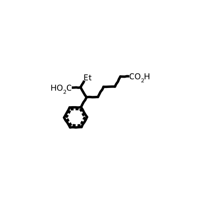 CCC(C(=O)O)C(CCCCC(=O)O)c1ccccc1